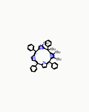 CC(C)(C)c1cc2[nH]c1C(c1ccccc1)(C(C)(C)C)c1[nH]c(c(C(C)(C)C)c1C(C)(C)C)/C(c1ccccc1)=C1/C=CC(=N1)/C(c1ccccc1)=c1/cc/c([nH]1)=C/2c1ccccc1